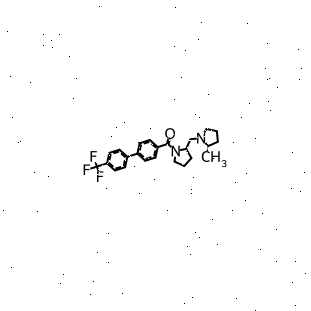 C[C@H]1CCCN1CC1CCCN1C(=O)c1ccc(-c2ccc(C(F)(F)F)cc2)cc1